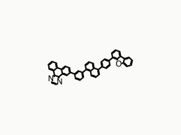 c1cc(-c2ccc3c4ccccc4c4nccnc4c3c2)cc(-c2cccc3c(-c4ccc(-c5cccc6c5oc5ccccc56)cc4)cccc23)c1